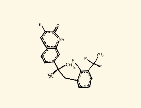 CCc1cc2ccc(C(C)(C#N)Cc3cccc(C(C)(F)F)c3F)cc2[nH]c1=O